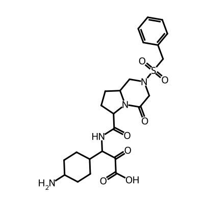 NC1CCC(C(NC(=O)C2CCC3CN(S(=O)(=O)Cc4ccccc4)CC(=O)N32)C(=O)C(=O)O)CC1